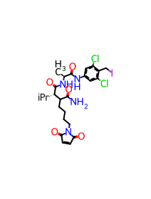 CC(C)[C@H](C(=O)N[C@@H](C)C(=O)Nc1cc(Cl)c(CI)c(Cl)c1)C(CCCCN1C(=O)C=CC1=O)C(N)=O